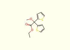 CCOC(=O)C(OC)(c1cccs1)c1cccs1